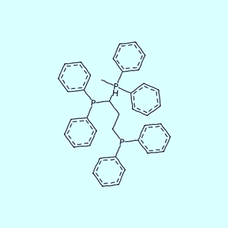 C[PH](c1ccccc1)(c1ccccc1)C(CCP(c1ccccc1)c1ccccc1)P(c1ccccc1)c1ccccc1